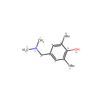 CCCCc1cc(CN(C)C)cc(CCCC)c1O